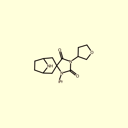 CC(C)N1C(=O)N(C2CCOC2)C(=O)C12CC1CCC(C2)N1